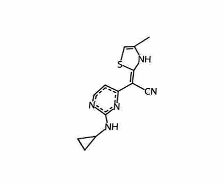 CC1=CS/C(=C(/C#N)c2ccnc(NC3CC3)n2)N1